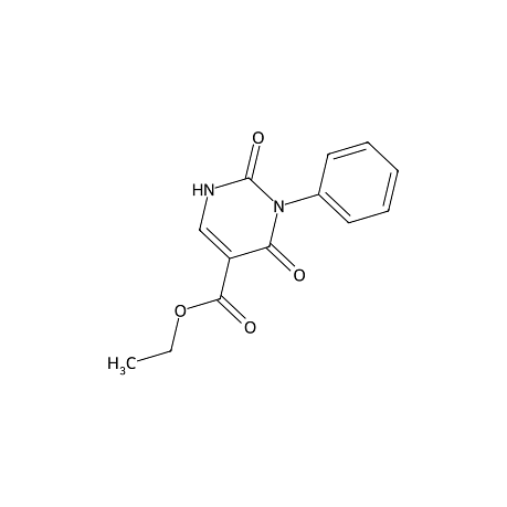 CCOC(=O)c1c[nH]c(=O)n(-c2ccccc2)c1=O